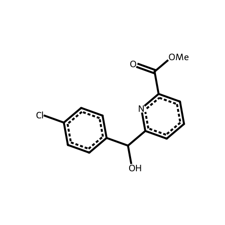 COC(=O)c1cccc(C(O)c2ccc(Cl)cc2)n1